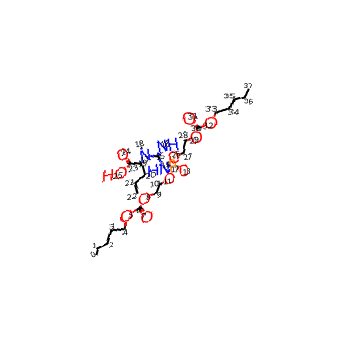 CCCCCOC(=O)OCCOP(=O)(NC(=N)N(C)C(CCC)C(=O)O)OCCOC(=O)OCCCCC